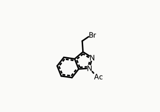 CC(=O)n1nc(CBr)c2ccccc21